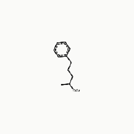 COC(C)CCCc1ccccc1